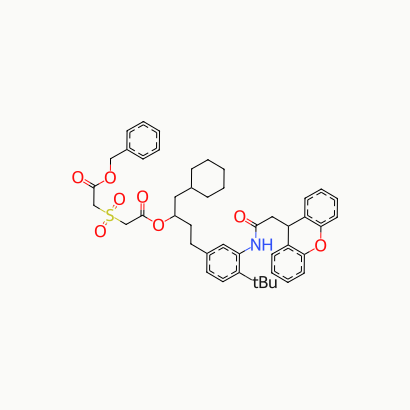 CC(C)(C)c1ccc(CCC(CC2CCCCC2)OC(=O)CS(=O)(=O)CC(=O)OCc2ccccc2)cc1NC(=O)CC1c2ccccc2Oc2ccccc21